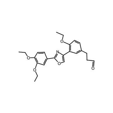 CCOc1ccc(-c2nc(-c3cc(CCC=O)ccc3OCC)co2)cc1OCC